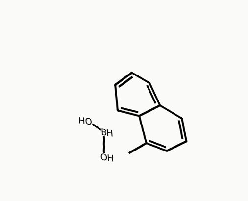 Cc1cccc2ccccc12.OBO